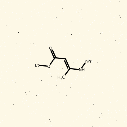 CCCNC(C)=CC(=O)OCC